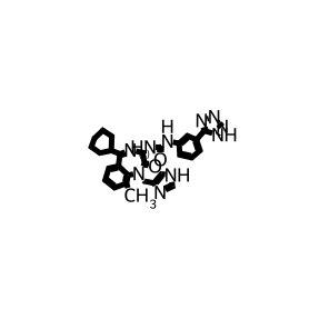 Cc1cccc2c1N(Cc1c[nH]cn1)C(=O)[C@H](NC(=O)Nc1cccc(-c3nnn[nH]3)c1)N=C2C1CCCCC1